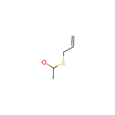 C=CCSC(C)[O]